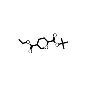 CCOC(=O)C1CCC(C(=O)OC(C)(C)C)OC1